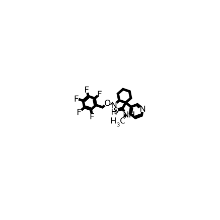 CNC(=S)C1(c2cccnc2)CCCCC1NOCc1c(F)c(F)c(F)c(F)c1F